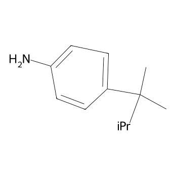 CC(C)C(C)(C)c1ccc(N)cc1